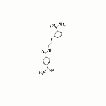 N=C(N)c1ccc(C(=O)NCCSc2cccc(C(=N)N)c2)cc1